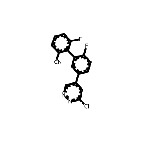 N#Cc1cccc(F)c1-c1cc(-c2cnnc(Cl)c2)ccc1F